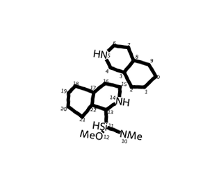 C1CCC2CNCCC2C1.CN[SiH](OC)C1NCCC2CCCCC21